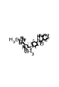 Cc1nc(-c2cc(Sc3ccc(NC(=O)c4ccncc4F)cc3)n(C)n2)no1